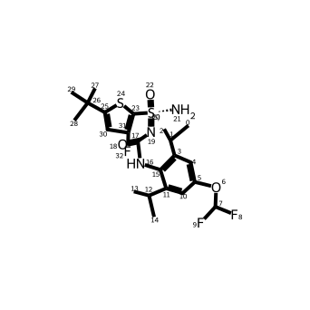 CC(C)c1cc(OC(F)F)cc(C(C)C)c1NC(=O)N=[S@](N)(=O)c1sc(C(C)(C)C)cc1F